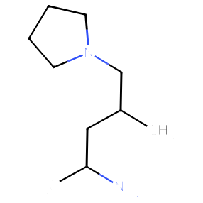 CC(N)CC(C)CN1CCCC1